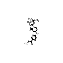 COC(=O)c1cnc(NC2CCN(C(=O)OC(C)(C)C)C3(CC3)C2)cn1